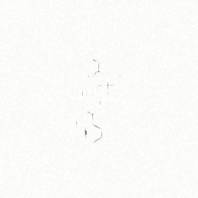 C=CC(=O)OC(CC)(CC)CCOC(=O)c1ccccc1CC